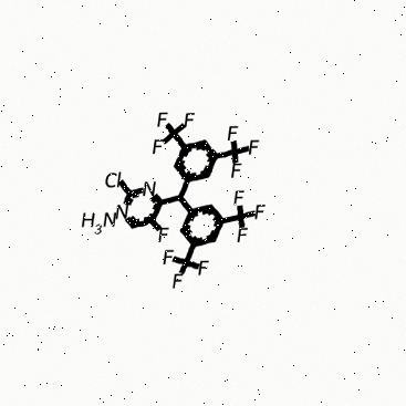 Fc1cnc(Cl)nc1C(c1cc(C(F)(F)F)cc(C(F)(F)F)c1)c1cc(C(F)(F)F)cc(C(F)(F)F)c1.N